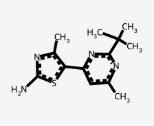 Cc1cc(-c2sc(N)nc2C)nc(C(C)(C)C)n1